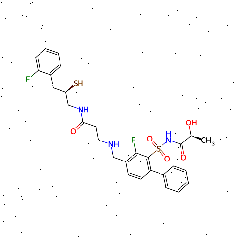 C[C@H](O)C(=O)NS(=O)(=O)c1c(-c2ccccc2)ccc(CNCCC(=O)NC[C@H](S)Cc2ccccc2F)c1F